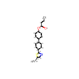 CCC=CC(=O)Oc1ccc(-c2ccc(-c3ncc(CCC)s3)cc2)cc1